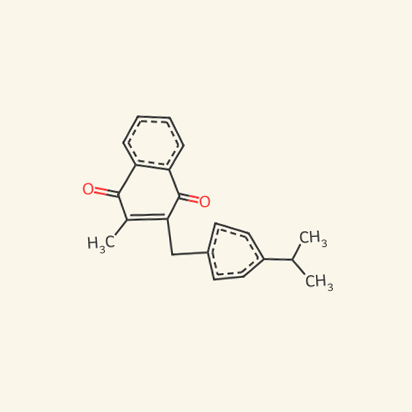 CC1=C(Cc2ccc(C(C)C)cc2)C(=O)c2ccccc2C1=O